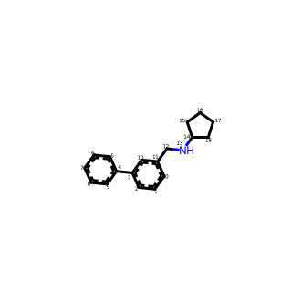 [c]1ccc(-c2ccccc2)cc1CNC1CCCC1